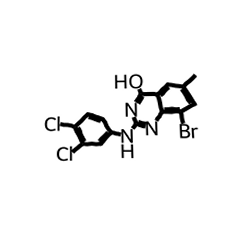 Cc1cc(Br)c2nc(Nc3ccc(Cl)c(Cl)c3)nc(O)c2c1